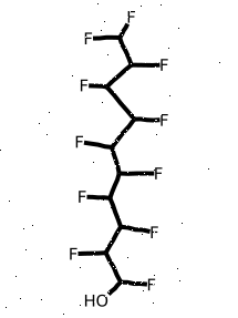 OC(F)C(F)C(F)C(F)C(F)C(F)C(F)C(F)C(F)C(F)F